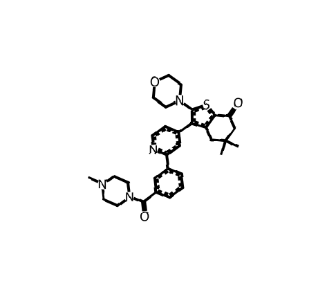 CN1CCN(C(=O)c2cccc(-c3cc(-c4c(N5CCOCC5)sc5c4CC(C)(C)CC5=O)ccn3)c2)CC1